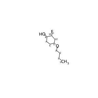 CCCCOC1CCC(O)C(F)C1